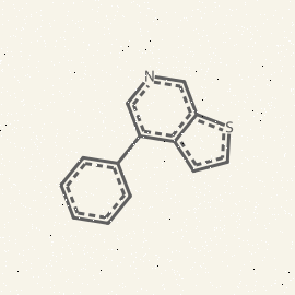 c1ccc(-c2cncc3sccc23)cc1